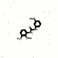 CNc1cccc(NC(=O)Nc2cccc(N)c2OC)c1